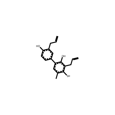 C=CCc1cc(-c2cc(C)c(S)c(CC=C)c2O)ccc1O